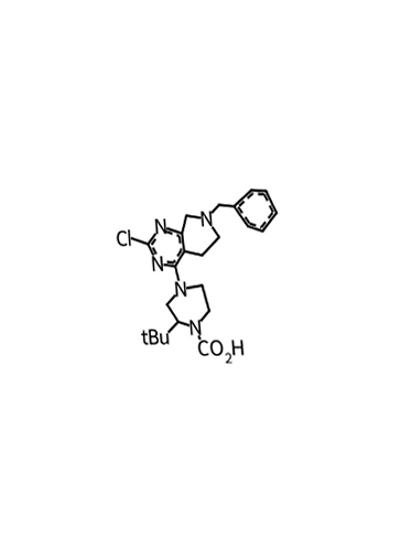 CC(C)(C)C1CN(c2nc(Cl)nc3c2CCN(Cc2ccccc2)C3)CCN1C(=O)O